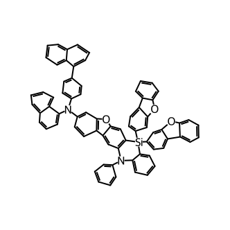 c1ccc(N2c3ccccc3[Si](c3ccc4c(c3)oc3ccccc34)(c3ccc4c(c3)oc3ccccc34)c3cc4oc5cc(N(c6ccc(-c7cccc8ccccc78)cc6)c6cccc7ccccc67)ccc5c4cc32)cc1